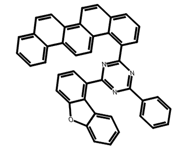 c1ccc(-c2nc(-c3cccc4ccc5c6ccc7ccccc7c6ccc5c34)nc(-c3cccc4oc5ccccc5c34)n2)cc1